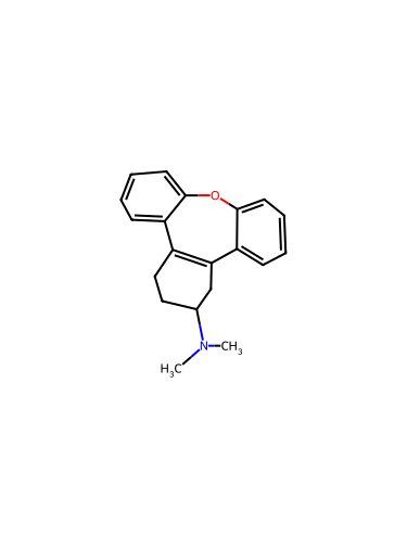 CN(C)C1CCC2=C(C1)c1ccccc1Oc1ccccc12